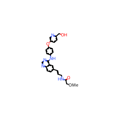 COCC(=O)NC/C=C/c1ccc2ncnc(Nc3ccc(Oc4ccc(CO)nc4)cc3)c2c1